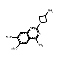 COc1cc2nc(N3CC(N)C3)nc(N)c2cc1OC